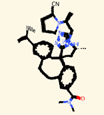 C=C(NC)c1ccc2c(c1)CCc1cc(C(=O)N(C)C)ccc1C2(C[C@@H](C)NCC(=C)N1CCCC1C#N)c1nnc[nH]1